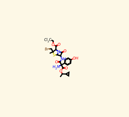 CC(OC(=O)C(N)(C(=O)NC1C(=O)N2C1SC(C)(CBr)C2C(=O)OCC(Cl)(Cl)Cl)c1ccc(O)cc1)C1CC1